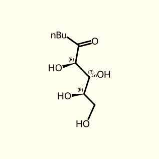 CCCCC(=O)[C@H](O)[C@H](O)[C@H](O)CO